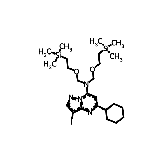 C[Si](C)(C)CCOCN(COCC[Si](C)(C)C)c1cc(C2CCCCC2)nc2c(I)cnn12